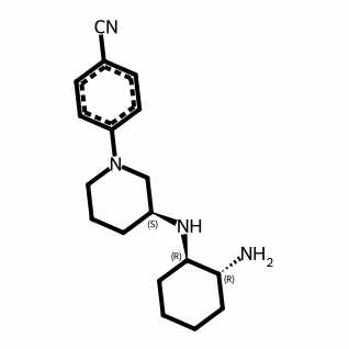 N#Cc1ccc(N2CCC[C@H](N[C@@H]3CCCC[C@H]3N)C2)cc1